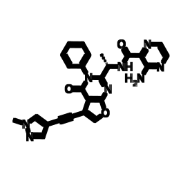 C[C@H](NC(=O)c1nccnc1N)c1nc2occ(C#Cc3cnn(C)c3)c2c(=O)n1-c1ccccc1